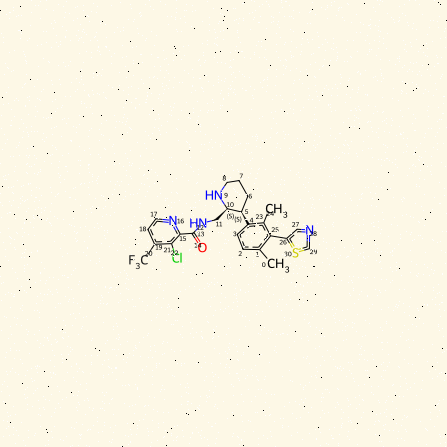 Cc1ccc([C@@H]2CCCN[C@@H]2CNC(=O)c2nccc(C(F)(F)F)c2Cl)c(C)c1-c1cncs1